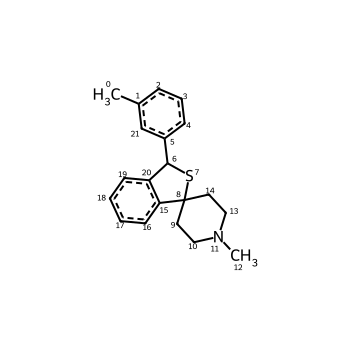 Cc1cccc(C2SC3(CCN(C)CC3)c3ccccc32)c1